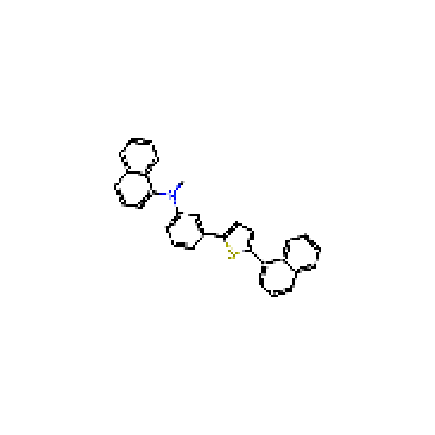 CN(c1cccc(-c2ccc(-c3cccc4ccccc34)s2)c1)c1cccc2ccccc12